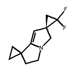 FC1(F)C[C@@]12C=C1N(CCC13CC3)C2